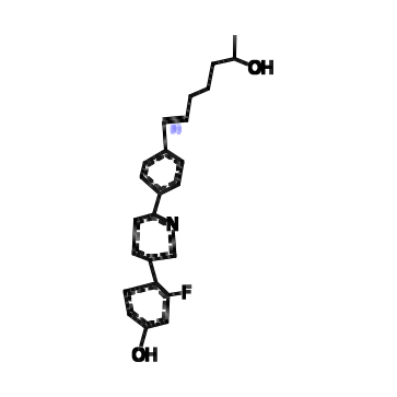 CC(O)CCC/C=C/c1ccc(-c2ccc(-c3ccc(O)cc3F)cn2)cc1